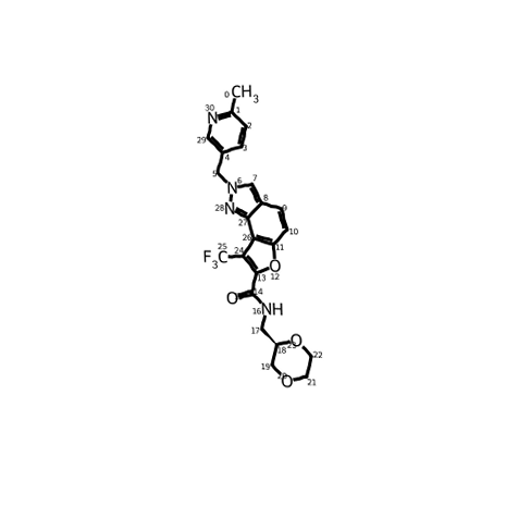 Cc1ccc(Cn2cc3ccc4oc(C(=O)NC[C@@H]5COCCO5)c(C(F)(F)F)c4c3n2)cn1